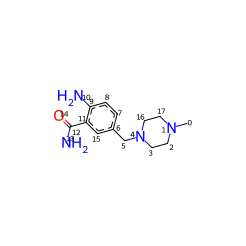 CN1CCN(Cc2ccc(N)c(C(N)=O)c2)CC1